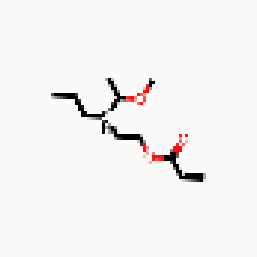 C=CC(=O)OCC[SiH](CCC)C(C)OC